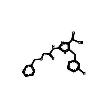 O=C(COCc1ccccc1)Nc1nc(C(=O)O)c(Cc2cccc(Cl)c2)s1